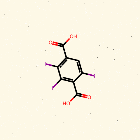 O=C(O)c1cc(I)c(C(=O)O)c(I)c1I